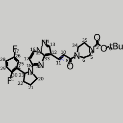 CC(C)(C)OC(=O)N1CCN(C(=O)/C=C/c2cnn3ccc(N4CCCC4c4cc(F)ccc4F)nc23)CC1